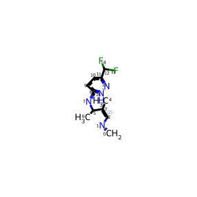 C=N/C=C(/C)C(C)/N=c1/ccc(C(F)F)n[nH]1